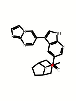 CN1CC2CCC(C1)N2C(=O)c1cnc2[nH]cc(-c3cnc4nccn4c3)c2c1